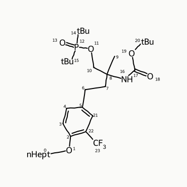 CCCCCCCOc1ccc(CCC(C)(COP(=O)(C(C)(C)C)C(C)(C)C)NC(=O)OC(C)(C)C)cc1C(F)(F)F